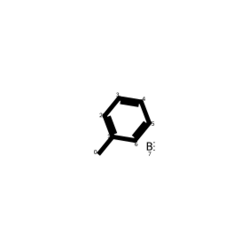 Cc1ccccc1.[B]